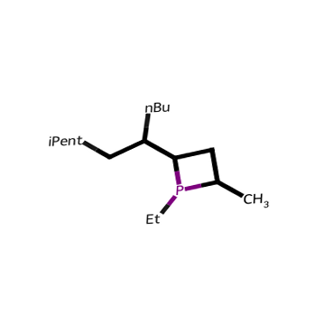 CCCCC(CC(C)CCC)C1CC(C)P1CC